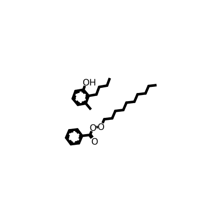 CCCCCCCCCCOOC(=O)c1ccccc1.CCCCc1c(C)cccc1O